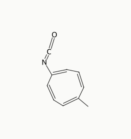 CC1=C/C=C\C(N=C=O)=C/C=C\1